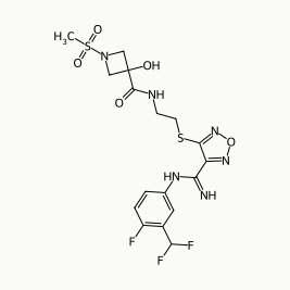 CS(=O)(=O)N1CC(O)(C(=O)NCCSc2nonc2C(=N)Nc2ccc(F)c(C(F)F)c2)C1